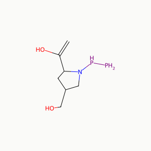 C=C(O)C1CC(CO)CN1PP